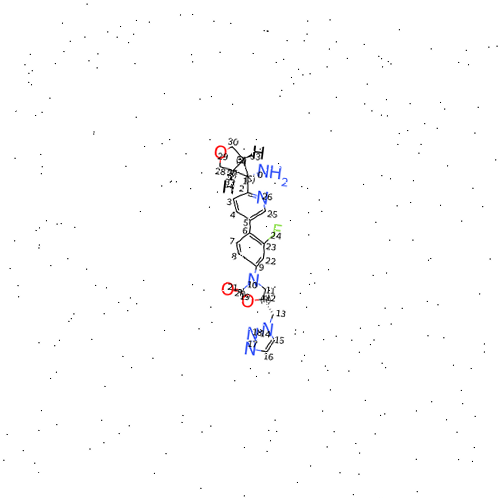 N[C@]1(c2ccc(-c3ccc(N4C[C@H](Cn5ccnn5)OC4=O)cc3F)cn2)[C@@H]2COC[C@@H]21